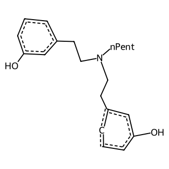 CCCCCN(CCc1cccc(O)c1)CCc1cccc(O)c1